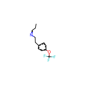 CC/C=N\CCc1ccc(OC(F)(F)F)cc1